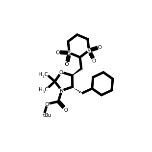 CC(C)(C)OC(=O)N1[C@@H](CC2CCCCC2)[C@H](CC2S(=O)(=O)CCCS2(=O)=O)OC1(C)C